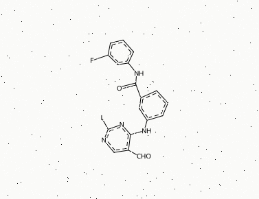 O=Cc1cnc(I)nc1Nc1cccc(C(=O)Nc2cccc(F)c2)c1